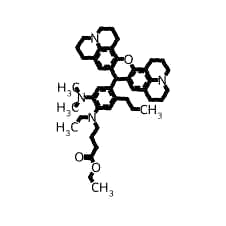 CCCc1cc(N(CC)CCCC(=O)OCC)c(N(C)C)cc1C1c2cc3c4c(c2Oc2c1cc1c5c2CCCN5CCC1)CCCN4CCC3